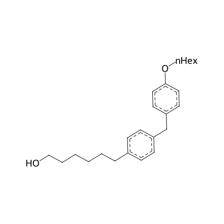 CCCCCCOc1ccc(Cc2ccc(CCCCCCO)cc2)cc1